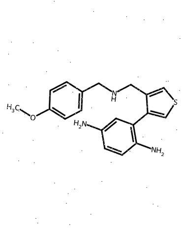 COc1ccc(CNCc2cscc2-c2cc(N)ccc2N)cc1